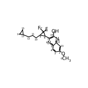 COc1ccc2nc(C3C(CCCC4CC4)C3(F)F)c(O)nc2c1